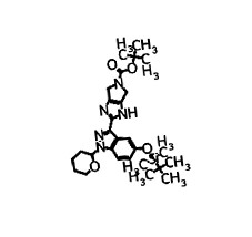 CC(C)(C)OC(=O)N1Cc2nc(-c3nn(C4CCCCO4)c4ccc(O[Si](C)(C)C(C)(C)C)cc34)[nH]c2C1